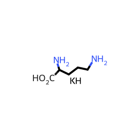 NCCCC(N)C(=O)O.[KH]